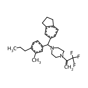 C=C(N1CCN(C(c2ccc(CCC)c(C)c2)c2ccc3c(c2)CCC3)CC1)C(F)(F)F